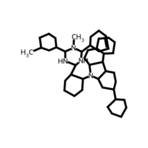 CC1CCCC(C2NC(C3CCCCC3N3C4CC(C5CCCCC5)CCC4C4C5CCCCC5CCC43)NC(C3CC=CCC3)N2C)C1